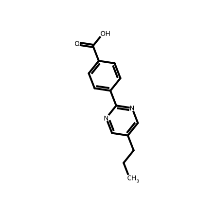 CCCc1cnc(-c2ccc(C(=O)O)cc2)nc1